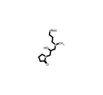 CCCCCCCCCCCCN(C)CC(O)CN1CCCC1=O